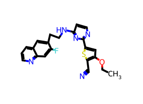 CCOc1cc(-c2nccc(NCCc3cc4cccnc4cc3F)n2)sc1C#N